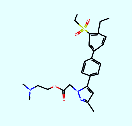 CCc1ccc(-c2ccc(-c3cc(C)nn3CC(=O)OCCN(C)C)cc2)cc1S(=O)(=O)CC